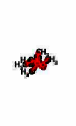 COCCCN1CCOc2ccc(CO[C@H]3CN(S(=O)(=O)c4ccc(C)cc4)C[C@@H](OC[C@H](C)OS(=O)(=O)c4ccc(C)cc4)[C@@H]3c3ccc(COCCOC)cc3)cc21